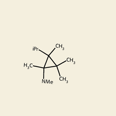 CNC1(C)C(C)(C)C1(C)C(C)C